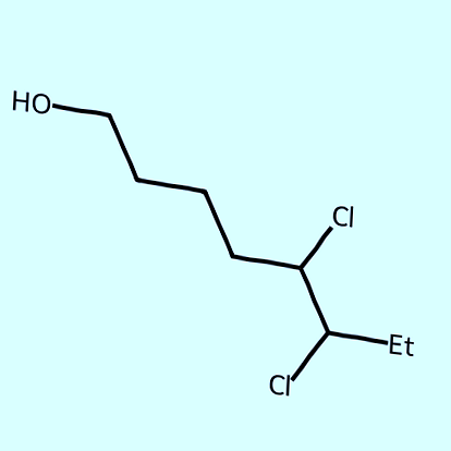 CCC(Cl)C(Cl)CCCCO